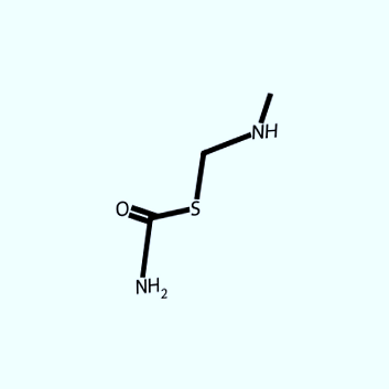 CNCSC(N)=O